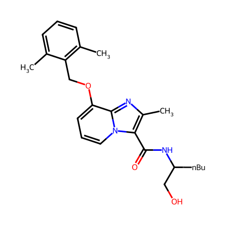 CCCCC(CO)NC(=O)c1c(C)nc2c(OCc3c(C)cccc3C)cccn12